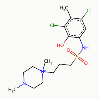 Cc1c(Cl)cc(NS(=O)(=O)CCC[N+]2(C)CCN(C)CC2)c(O)c1Cl